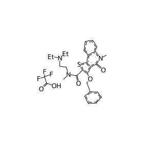 CCN(CC)CCN(C)C(=O)c1sc2c(c1OCc1ccccc1)c(=O)n(C)c1ccccc21.O=C(O)C(F)(F)F